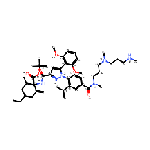 C=C1CC(CC)CC(C)C1(NC(=O)c1cc(-c2c(OC)cccc2OC)n(-c2ccc(C(=O)N(C)CCCN(C)CCCNC)cc2C(C)C)n1)C(=O)OC(C)(C)C